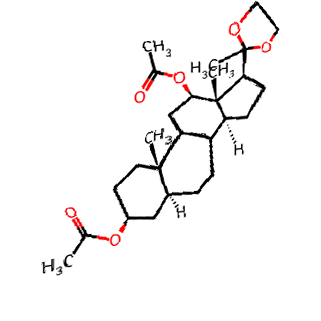 CC(=O)O[C@H]1CC[C@]2(C)C3C[C@@H](OC(C)=O)[C@]4(C)[C@@H](C5(C)OCCO5)CC[C@H]4C3CC[C@H]2C1